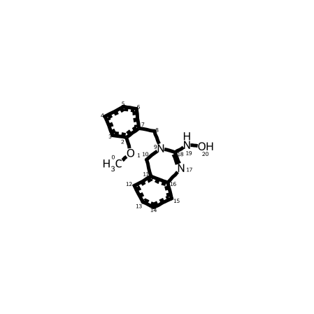 COc1ccccc1CN1Cc2ccccc2N=C1NO